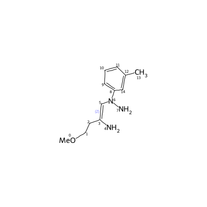 COCC/C(N)=C/N(N)c1cccc(C)c1